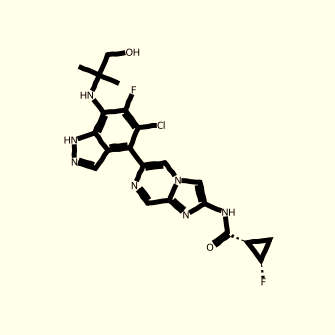 CC(C)(CO)Nc1c(F)c(Cl)c(-c2cn3cc(NC(=O)[C@@H]4C[C@@H]4F)nc3cn2)c2cn[nH]c12